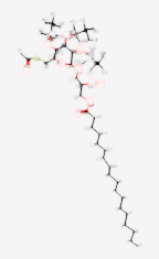 CCCCCCCCCCCCCCCCCC(=O)OCC(O)COC1OC(CSC(C)=O)C(O[Si](C)(C)C(C)(C)C)C(O[Si](C)(C)C(C)(C)C)C1O[Si](C)(C)C(C)(C)C